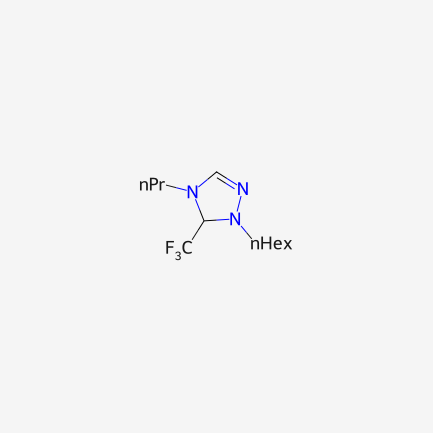 CCCCCCN1N=CN(CCC)C1C(F)(F)F